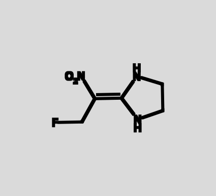 O=[N+]([O-])C(CF)=C1NCCN1